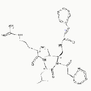 CC(C)C[C@H](NC(=O)[C@@H](N)CCCNC(=N)N)C(=O)N(C(=O)Cc1ccccn1)[C@H](CNC(=O)/C=C/c1ccccc1)C(C)C